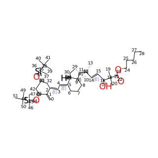 C=C1/C(=C/C=C2\CCC[C@]3(C)[C@@H]([C@H](C)/C=C/C(O)C(C)(C)C(=O)OCCCCC)CC[C@@H]23)C[C@@H](O[Si](C)(C)C(C)(C)C)C[C@@H]1O[Si](C)(C)C(C)(C)C